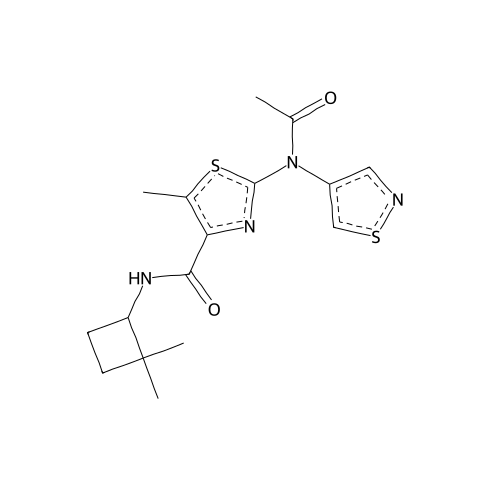 CC(=O)N(c1cnsc1)c1nc(C(=O)NC2CCC2(C)C)c(C)s1